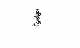 Cc1ncc(-c2ccc(Nc3cccc4cn(CC5CC5)nc34)cn2)o1